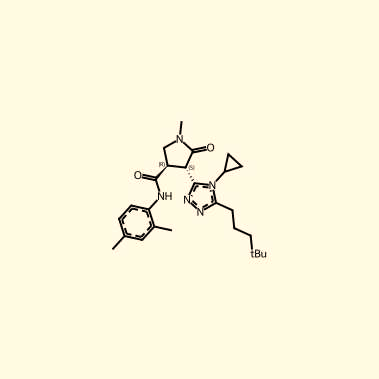 Cc1ccc(NC(=O)[C@H]2CN(C)C(=O)[C@@H]2c2nnc(CCCC(C)(C)C)n2C2CC2)c(C)c1